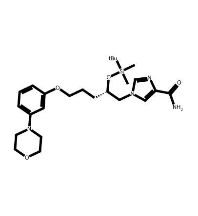 CC(C)(C)[Si](C)(C)O[C@@H](CCCOc1cccc(N2CCOCC2)c1)Cn1cnc(C(N)=O)c1